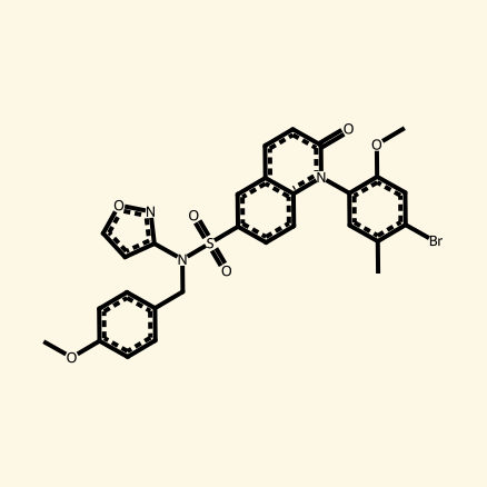 COc1ccc(CN(c2ccon2)S(=O)(=O)c2ccc3c(ccc(=O)n3-c3cc(C)c(Br)cc3OC)c2)cc1